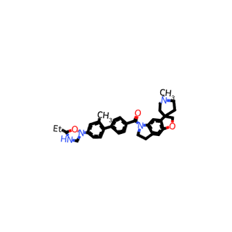 CCC1NCN(c2ccc(-c3ccc(C(=O)N4CCc5cc6c(cc54)C4(CCN(C)CC4)CO6)cc3)c(C)c2)O1